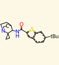 CC(C)(C)c1ccc2cc(C(=O)NC3C4CCN(CC4)C34CC4)sc2c1